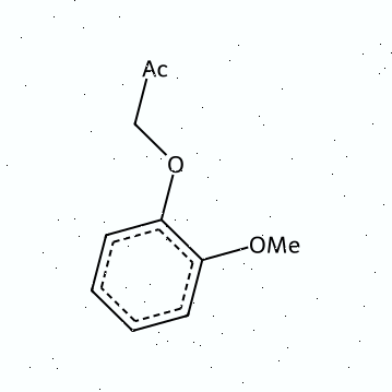 COc1ccccc1OCC(C)=O